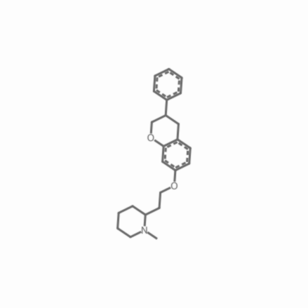 CN1CCCCC1CCOc1ccc2c(c1)OCC(c1ccccc1)C2